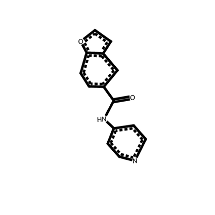 O=C(Nc1ccncc1)c1ccc2occc2c1